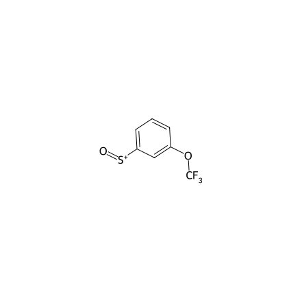 O=[S+]c1cccc(OC(F)(F)F)c1